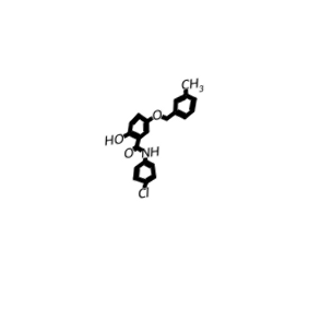 Cc1cccc(COc2ccc(O)c(C(=O)Nc3ccc(Cl)cc3)c2)c1